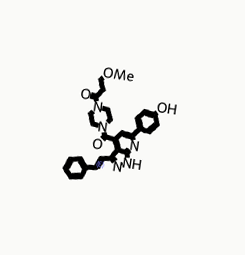 COCCC(=O)N1CCN(C(=O)c2cc(-c3ccc(O)cc3)nc3[nH]nc(/C=C/c4ccccc4)c23)CC1